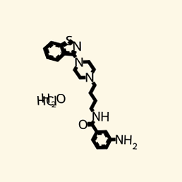 Cl.Nc1cccc(C(=O)NCCCCN2CCN(c3nsc4ccccc34)CC2)c1.O